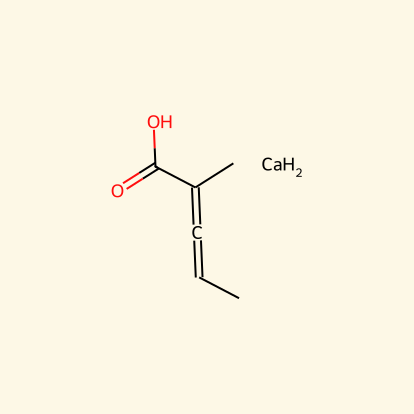 CC=C=C(C)C(=O)O.[CaH2]